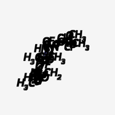 C=CC(=O)Nc1cccc(C)c1Nc1ncc(OCc2c(F)c(OC)c(/C=C/C(=O)NC3COCC3Nc3ncc(OCc4c(Cl)c(OC)cc(OC)c4Cl)cc3F)c(OC)c2F)cn1